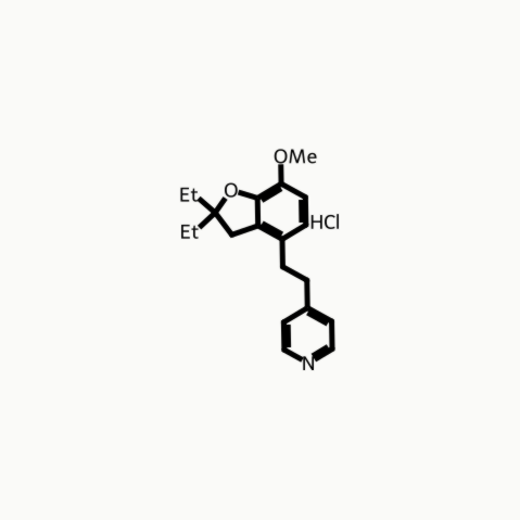 CCC1(CC)Cc2c(CCc3ccncc3)ccc(OC)c2O1.Cl